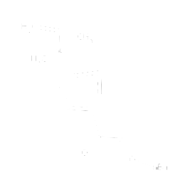 [CH2]CCCOOC(=O)c1ccc([Si](C)(C)C=C)cc1